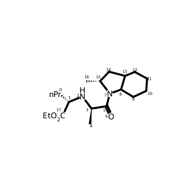 CCC[C@H](N[C@H](C)C(=O)N1C2CCCCC2C[C@H]1C)C(=O)OCC